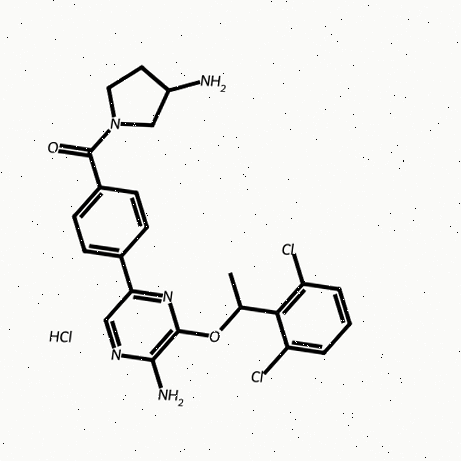 CC(Oc1nc(-c2ccc(C(=O)N3CCC(N)C3)cc2)cnc1N)c1c(Cl)cccc1Cl.Cl